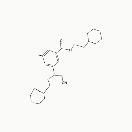 Cc1cc(C(=O)OCCC2CCCCC2)cc(C(CCC2CCCCC2)OO)c1